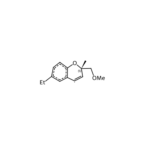 CCc1ccc2c(c1)[C]=C[C@@](C)(COC)O2